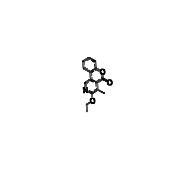 CCOc1ncc2c(c1C)c(=O)oc1ccccc12